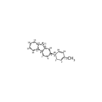 CC1=CC[C@@H](c2ccc3c(c2)sc2ccccc23)C=C1